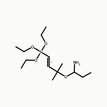 CCO[Si](/C=C/C(C)(C)OC(N)CC)(OCC)OCC